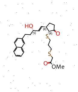 COC(=O)CSCCCS[C@H]1C(=O)CC[C@@H]1C=C[C@@H](O)CCc1ccc2ccccc2c1